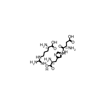 N=C(N)NCCC[C@H](N)C(=O)O.N[C@@H](CC(=O)O)C(=O)O.N[C@@H](Cc1c[nH]cn1)C(=O)O